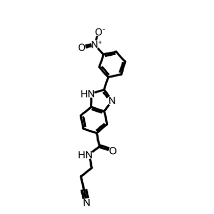 N#CCCNC(=O)c1ccc2[nH]c(-c3cccc([N+](=O)[O-])c3)nc2c1